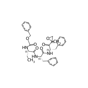 CC[C@H](NC(=O)OCc1ccccc1)C(=O)N[C@@H](Cc1ccccc1)C(=O)N[C@@H](Cc1ccccc1)C(=O)[C@@]1(C)CO1